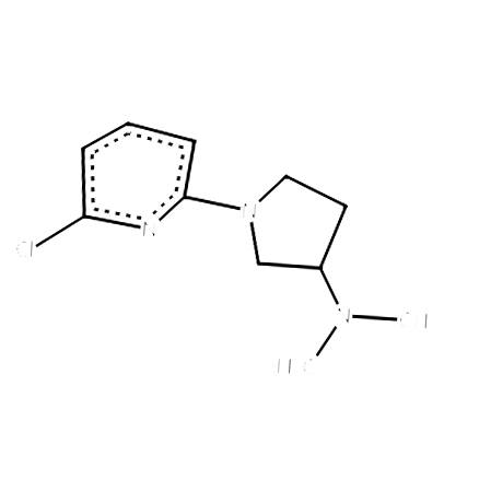 CN(C)C1CCN(c2cccc(Cl)n2)C1